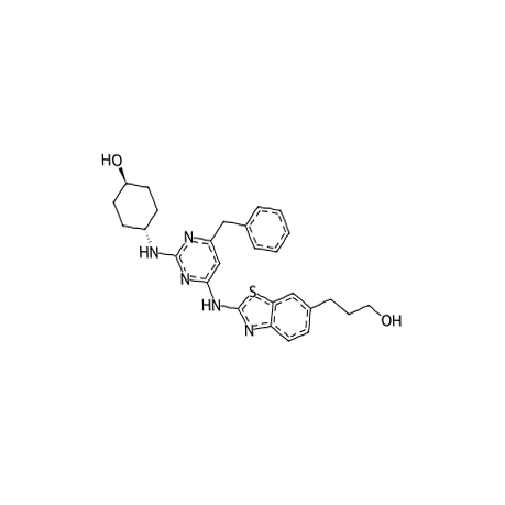 OCCCc1ccc2nc(Nc3cc(Cc4ccccc4)nc(N[C@H]4CC[C@H](O)CC4)n3)sc2c1